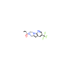 C=CC(=O)N1CCn2c(cc3cc(C(F)(F)F)cnc32)C1